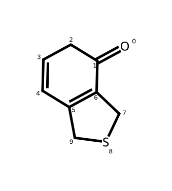 O=C1CC=CC2=C1CSC2